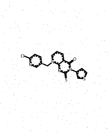 O=c1c2cccn(Cc3ccc(Cl)nc3)c-2nc(=S)n1-c1ccsc1